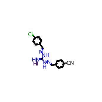 I.N#Cc1ccc(/C=N/NC(=N)N/N=C/c2ccc(Cl)cc2)cc1